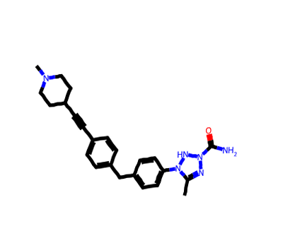 CC1=NN(C(N)=O)NN1c1ccc(Cc2ccc(C#CC3CCN(C)CC3)cc2)cc1